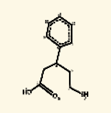 O=C(O)CC(CCS)c1ccccc1